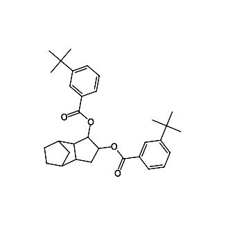 CC(C)(C)c1cccc(C(=O)OC2CC3C4CCC(C4)C3C2OC(=O)c2cccc(C(C)(C)C)c2)c1